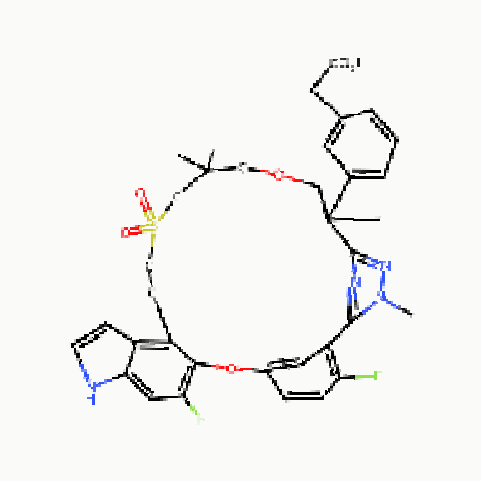 Cn1nc2nc1-c1cc(ccc1F)Oc1c(F)cc3[nH]ccc3c1CCS(=O)(=O)CC(C)(C)COCC2(C)c1cccc(CC(=O)O)c1